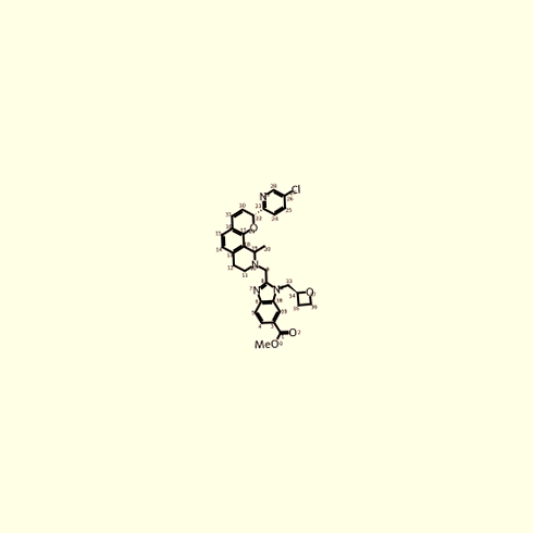 COC(=O)c1ccc2nc(CN3CCc4ccc5c(c4C3C)O[C@@H](c3ccc(Cl)cn3)C=C5)n(C[C@@H]3CCO3)c2c1